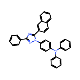 c1ccc(-c2nc(-c3ccc4ccccc4c3)n(-c3ccc(N(c4ccccc4)c4ccccc4)cc3)n2)cc1